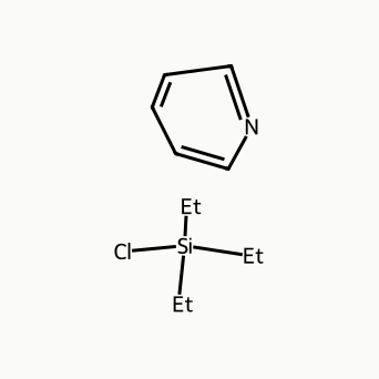 CC[Si](Cl)(CC)CC.c1ccncc1